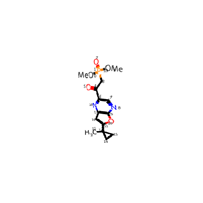 COP(=O)(CC(=O)c1cnc2oc(C3(C)CC3)cc2n1)OC